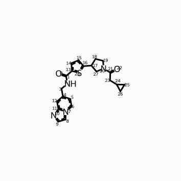 O=C(NCc1ccn2ccnc2c1)c1ccc(C2CCN(C(=O)CC3CC3)C2)s1